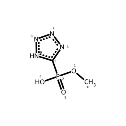 COP(=O)(O)c1nnn[nH]1